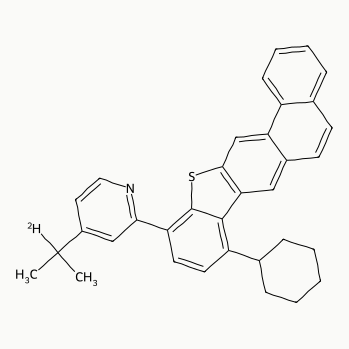 [2H]C(C)(C)c1ccnc(-c2ccc(C3CCCCC3)c3c2sc2cc4c(ccc5ccccc54)cc23)c1